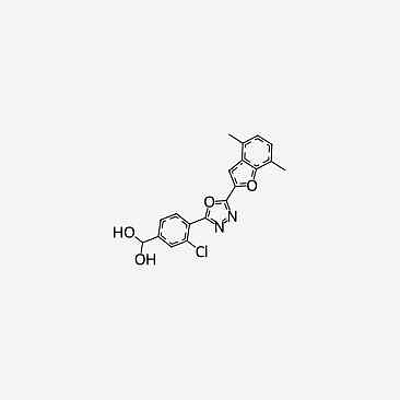 Cc1ccc(C)c2oc(-c3nnc(-c4ccc(C(O)O)cc4Cl)o3)cc12